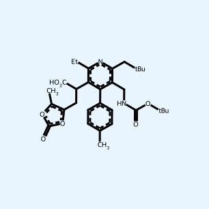 CCc1nc(CC(C)(C)C)c(CNC(=O)OC(C)(C)C)c(-c2ccc(C)cc2)c1C(Cc1oc(=O)oc1C)C(=O)O